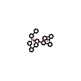 c1ccc(-c2cccc(N(c3ccc(-c4ccc(-c5ccccc5-n5c6ccccc6c6ccccc65)cc4)cc3)c3cccc(-c4ccccc4-c4ccccc4)c3)c2)cc1